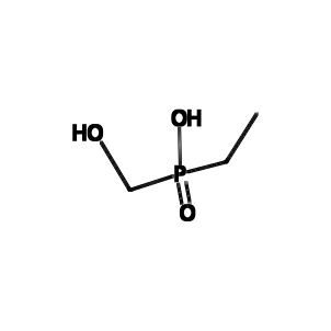 CCP(=O)(O)CO